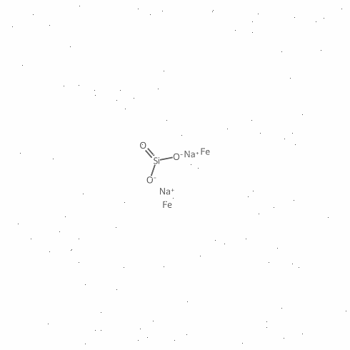 O=[Si]([O-])[O-].[Fe].[Fe].[Na+].[Na+]